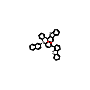 c1ccc(N(c2ccc(-c3cccc4c3oc3ccccc34)cc2)c2ccc3ccccc3c2)c(-c2cccc3c2sc2ccccc23)c1